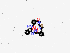 Cc1csc(CN(C)C(=O)c2cccc(C(=O)N[C@@H](Cc3ccccc3)[C@H](O)CN(C)c3cc(-c4ccccc4)on3)c2)n1